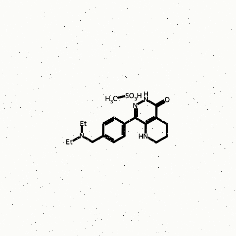 CCN(CC)Cc1ccc(-c2n[nH]c(=O)c3c2NCCC3)cc1.CS(=O)(=O)O